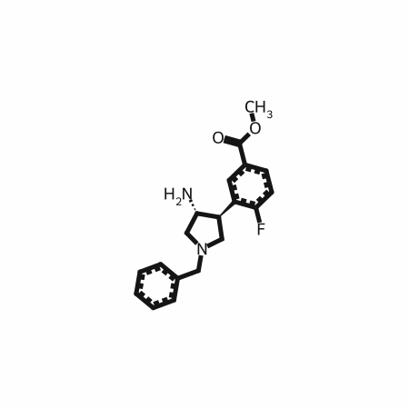 COC(=O)c1ccc(F)c([C@H]2CN(Cc3ccccc3)C[C@@H]2N)c1